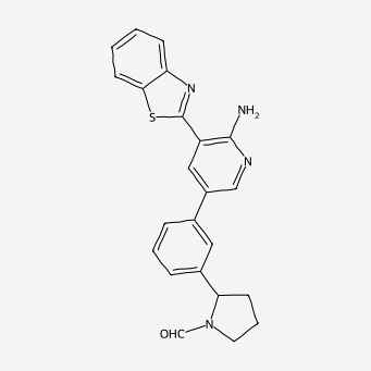 Nc1ncc(-c2cccc(C3CCCN3C=O)c2)cc1-c1nc2ccccc2s1